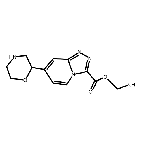 CCOC(=O)c1nnc2cc(C3CNCCO3)ccn12